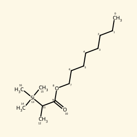 CCCCCCCCOC(=O)C(C)[Si](C)(C)C